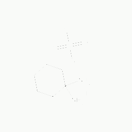 NC1(N)CCCCC1.O=S(=O)([O-])[O-].[Pt+2]